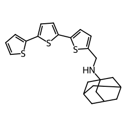 c1csc(-c2ccc(-c3ccc(CNC45CC6CC(CC(C6)C4)C5)s3)s2)c1